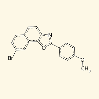 COc1ccc(-c2nc3ccc4ccc(Br)cc4c3o2)cc1